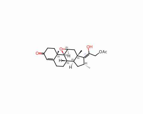 CC(=O)OC/C(O)=C1\[C@H](C)C[C@H]2[C@@H]3CCC4=CC(=O)CC[C@]4(C)[C@@]34O[C@H]4C[C@]12C